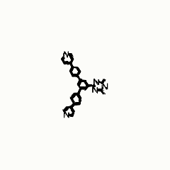 Cc1nc(C)nc(-c2cc(-c3ccc(-c4ccncc4)cc3)cc(-c3ccc(-c4ccncc4)cc3)c2)n1